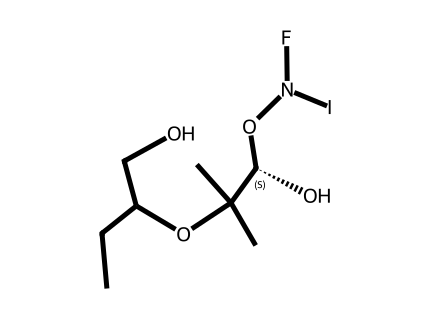 CCC(CO)OC(C)(C)[C@@H](O)ON(F)I